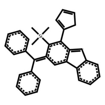 C[Si](C)(C)c1c(C2=CC=CC2)c2c(cc1=C(c1ccccc1)c1ccccc1)-c1ccccc1[C]=2